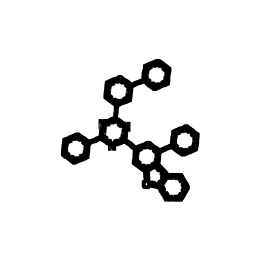 c1ccc(-c2cccc(-c3nc(-c4ccccc4)nc(-c4cc(-c5ccccc5)c5c(c4)oc4ccccc45)n3)c2)cc1